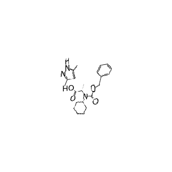 C[C@@H](C(=O)O)N(C(=O)OCc1ccccc1)C1CCCCC1.Cc1cc(C)[nH]n1